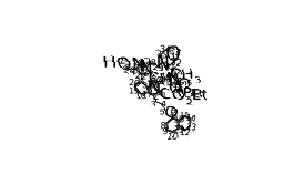 CCOC(=O)c1c(CCCOc2cccc3ccccc23)c2cccc(-c3c(CO)nn(CCN4CCOCC4)c3C)c2n1CCCN(C)C(=O)OC(C)(C)C